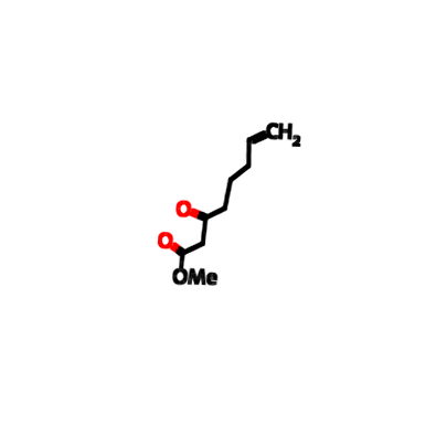 C=CCCCC(=O)CC(=O)OC